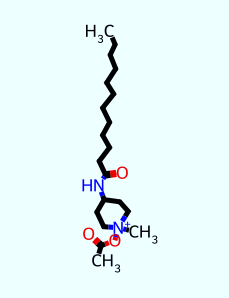 CCCCCCCCCCCC(=O)NC1CC[N+](C)(OC(C)=O)CC1